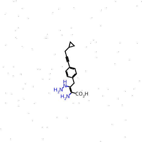 NN/C(Cc1ccc(C#CCC2CC2)cc1)=C(\N)C(=O)O